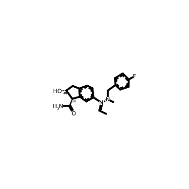 CC=[N+](c1ccc2c(c1)[C@@H](C(N)=O)[C@H](O)C2)N(C)Cc1ccc(F)cc1